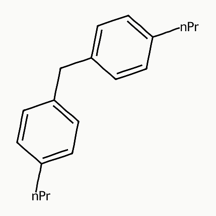 CCCc1ccc(Cc2ccc(CCC)cc2)cc1